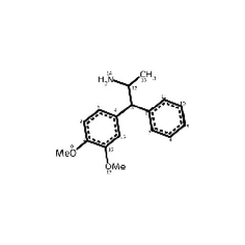 COc1ccc(C(c2ccccc2)C(C)N)cc1OC